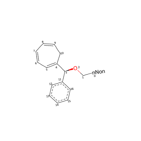 CCCCCCCCCCO[C@H](C1=CC=CC=CC1)c1ccccc1